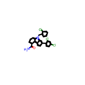 NC(=O)c1cccc2c1c1[c]cc(-c3ccc(Cl)cc3Cl)cc1n2Cc1ccccc1Cl